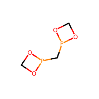 C1OP(CP2OCO2)O1